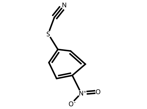 N#CSc1ccc([N+](=O)[O-])cc1